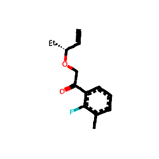 C=C[C@@H](CC)OCC(=O)c1cccc(C)c1F